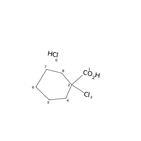 Cl.O=C(O)C1(Cl)CCCCC1